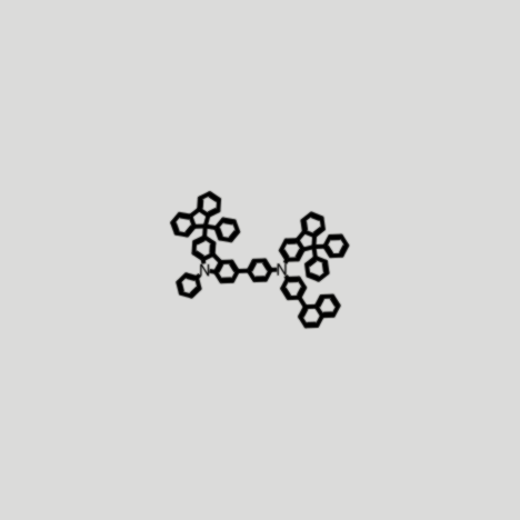 c1ccc(-n2c3ccc(-c4ccc(N(c5ccc(-c6cccc7ccccc67)cc5)c5ccc6c(c5)C(c5ccccc5)(c5ccccc5)c5ccccc5-6)cc4)cc3c3cc(C4(c5ccccc5)c5ccccc5-c5ccccc54)ccc32)cc1